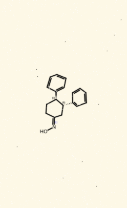 O/N=C1\CC[C@@H](c2ccccc2)[C@H](c2ccccc2)C1